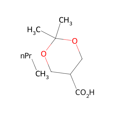 CC1(C)OCC(C(=O)O)CO1.CCCC